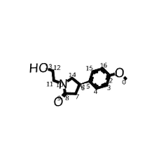 COc1ccc([C@H]2CC(=O)N(CCO)C2)cc1